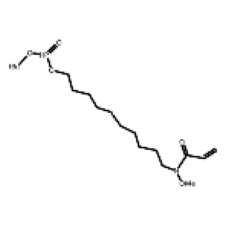 C=CC(=O)N(CCCCCCCCCCO[PH](=O)OC(C)(C)C)OC